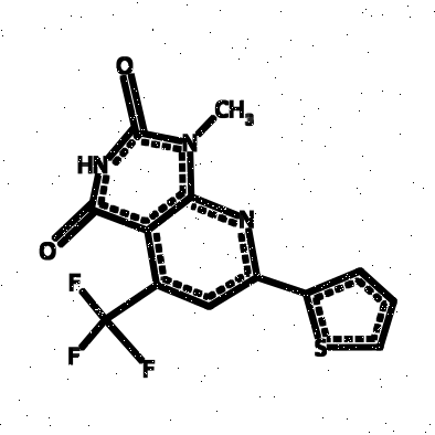 Cn1c(=O)[nH]c(=O)c2c(C(F)(F)F)cc(-c3cccs3)nc21